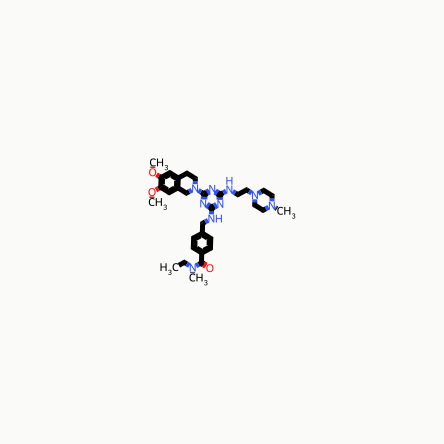 CCN(C)C(=O)c1ccc(CNc2nc(NCCN3CCN(C)CC3)nc(N3CCc4cc(OC)c(OC)cc4C3)n2)cc1